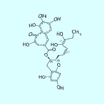 CC/C(O)=C(O)\C=C/C[C@H]1Oc2cc(O)cc(O)c2C[C@H]1OC(=O)c1cc(O)c(=O)c2c(O)c(O)c(O)cc2c1